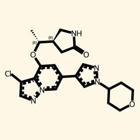 C[C@@H](Oc1cc(-c2cnn(C3CCOCC3)c2)cn2ncc(Cl)c12)[C@H]1CNC(=O)C1